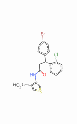 O=C(CC(c1ccc(Br)cc1)c1ccccc1Cl)Nc1cscc1C(=O)O